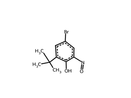 CC(C)(C)c1cc(Br)cc(N=O)c1O